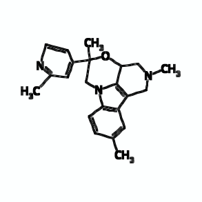 Cc1ccc2c(c1)c1c3n2CC(C)(c2ccnc(C)c2)OC3CN(C)C1